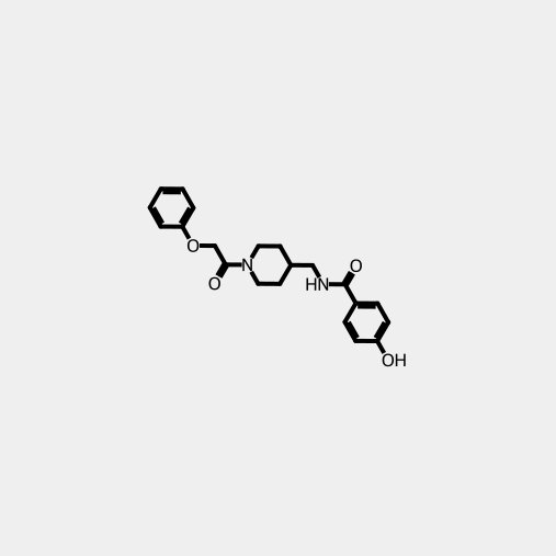 O=C(NCC1CCN(C(=O)COc2ccccc2)CC1)c1ccc(O)cc1